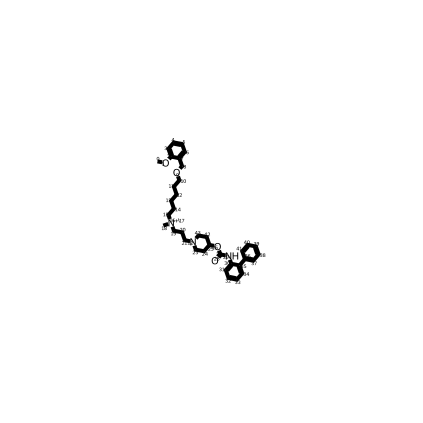 COc1ccccc1COCCCCCC[N+](C)(C)CCCN1CCC(OC(=O)Nc2ccccc2-c2ccccc2)CC1